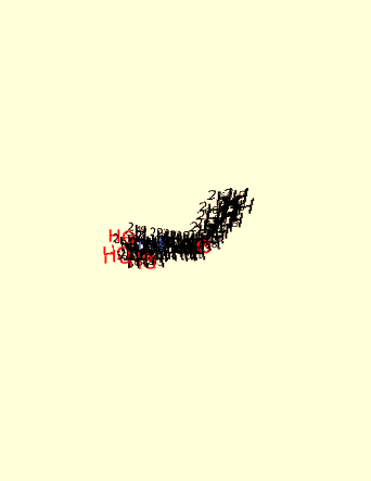 [2H]c1c([2H])c([2H])c(C([2H])([2H])C([2H])([2H])C([2H])([2H])C([2H])([2H])OC([2H])([2H])C([2H])([2H])C([2H])([2H])C([2H])([2H])C([2H])([2H])C([2H])([2H])NC([2H])([2H])C([2H])(O)c2c([2H])c([2H])c(O)c(C([2H])([2H])O)c2[2H])c([2H])c1[2H]